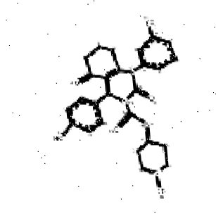 N#Cc1ccc(C2C3=C(CCCC3=O)N(c3cccc(C(F)(F)F)c3)C(=O)N2C(=O)NC2CC[S+]([O-])CC2)cc1